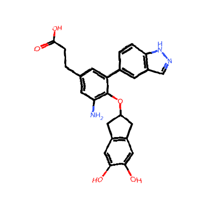 Nc1cc(CCC(=O)O)cc(-c2ccc3[nH]ncc3c2)c1OC1Cc2cc(O)c(O)cc2C1